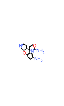 NC1=NC2(C=CO1)C1=CC=NCC1Oc1ccc(N)cc12